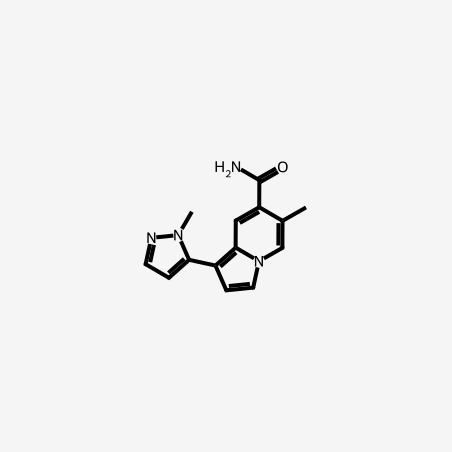 Cc1cn2ccc(-c3ccnn3C)c2cc1C(N)=O